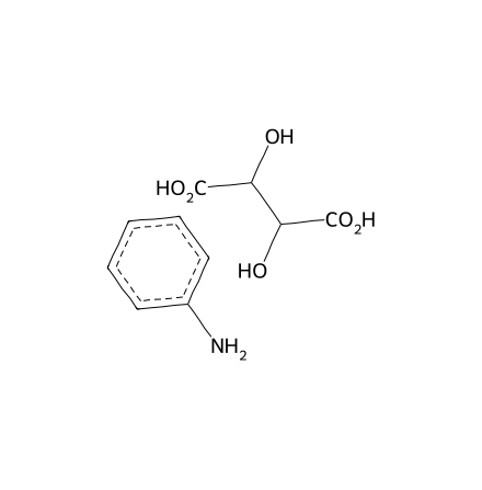 Nc1ccccc1.O=C(O)C(O)C(O)C(=O)O